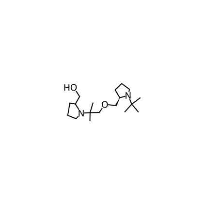 CC(C)(C)N1CCC[C@@H]1COCC(C)(C)N1CCCC1CO